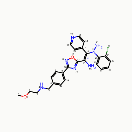 COCCNCc1ccc(-c2noc(/C(N)=C(\c3ccncc3)N(N)c3ccccc3F)n2)cc1